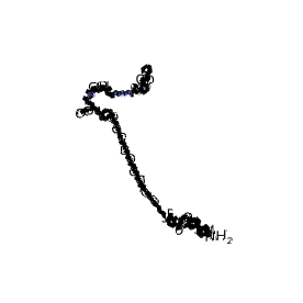 COC(C[C@@H]1CC[C@@H](C)C(C(=O)C(=O)N2CCCCC2)O1)/C(C)=C/C=C/C=C/C(C)CC(C)C(=O)CC(O)/C(C)=C/C(C)CCC(CCC1CCC(OCCOCCOCCOCCOCCOCCOCCOCCOCCCCSc2ccc(C(=O)N3CCOc4ccc(-c5ccc(N)nc5)cc4C3)c(C)c2F)CC1)OC=O